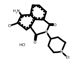 CCN1CCC(N2C(=O)c3cccc4c(N)c(Cl)cc(c34)C2=O)CC1.Cl